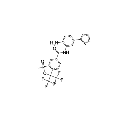 CP(C)(=O)OC(c1ccc(C(=O)Nc2cc(-c3cccs3)ccc2N)cc1)(C(F)(F)F)C(F)(F)F